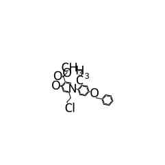 COC(=O)c1cn(-c2ccc(OCc3ccccc3)cc2C)c(CCCl)cc1=O